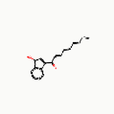 CCCCC/C=C/C=C/C=C/C(=O)C1=CC(O)c2ccccc21